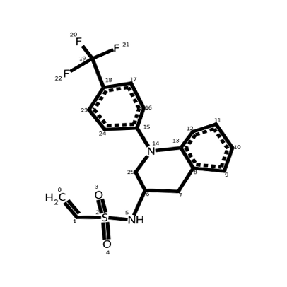 C=CS(=O)(=O)NC1Cc2ccccc2N(c2ccc(C(F)(F)F)cc2)C1